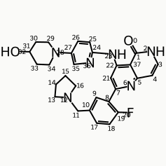 O=c1[nH]ccc2nc(-c3cc(CN4CCCC4)ccc3F)cc(Nc3ccc(N4CCC(O)CC4)cn3)c12